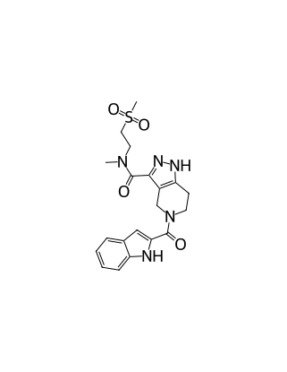 CN(CCS(C)(=O)=O)C(=O)c1n[nH]c2c1CN(C(=O)c1cc3ccccc3[nH]1)CC2